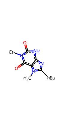 CCCCc1nc2[nH]c(=O)n(CC)c(=O)c2n1C